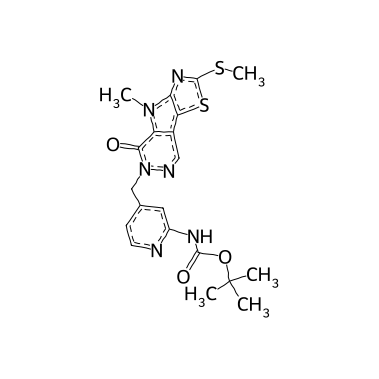 CSc1nc2c(s1)c1cnn(Cc3ccnc(NC(=O)OC(C)(C)C)c3)c(=O)c1n2C